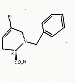 O=C(O)[C@H]1CC=C(Br)CN1Cc1ccccc1